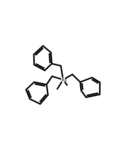 C[As](C)(Cc1ccccc1)(Cc1ccccc1)Cc1ccccc1